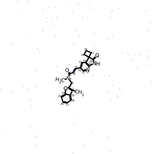 Cc1c(CN(C)C(=O)/C=C/c2cnc3c(c2)C2(CCC2)C(=O)N3)oc2ccccc12